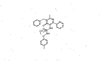 Cc1ccc([C@H](CC(=O)O)NC(=O)Nc2c(-c3ccccn3)nc(C)n(Cc3ccccc3)c2=O)cc1